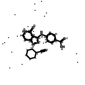 N#CC1CCCC[C@@H]1n1nc(Nc2ccc(C(=O)O)cc2)c2c(=O)[nH]ccc21